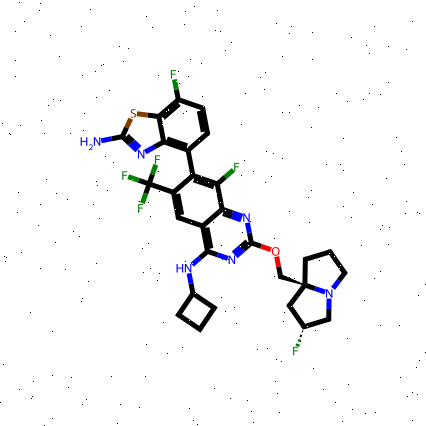 Nc1nc2c(-c3c(C(F)(F)F)cc4c(NC5CCC5)nc(OC[C@@]56CCCN5C[C@H](F)C6)nc4c3F)ccc(F)c2s1